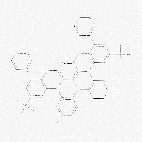 Cc1ccc2c(c1)B1c3cc(C(C)(C)C)cc(-c4ccccc4)c3Oc3cc4c5c(c31)N2c1ccc(C)cc1B5c1cc(C(C)(C)C)cc(-c2ccccc2)c1O4